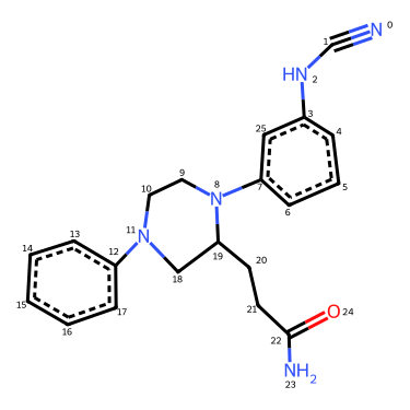 N#CNc1cccc(N2CCN(c3ccccc3)CC2CCC(N)=O)c1